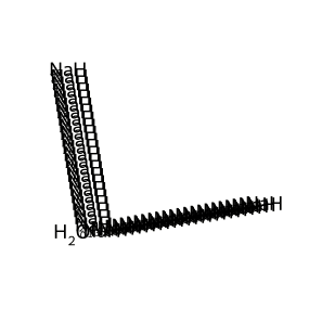 O.[NaH].[NaH].[NaH].[NaH].[NaH].[NaH].[NaH].[NaH].[NaH].[NaH].[NaH].[NaH].[NaH].[NaH].[NaH].[NaH].[NaH].[NaH].[NaH].[NaH].[NaH].[NaH].[NaH].[NaH].[NaH].[NaH].[NaH].[NaH].[NaH].[NaH].[NaH].[NaH].[NaH].[NaH].[NaH].[NaH].[NaH].[NaH].[NaH].[NaH].[NaH].[NaH].[NaH].[NaH].[NaH].[NaH].[NaH]